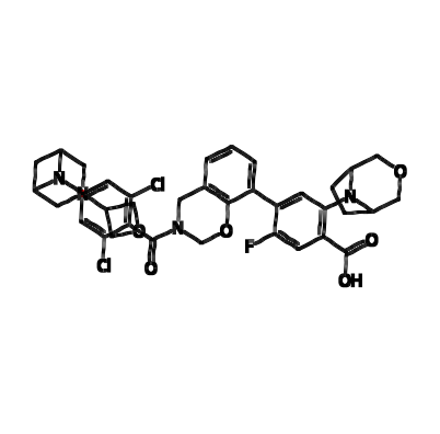 O=C(O)c1cc(F)c(-c2cccc3c2OCN(C(=O)c2c(Cl)cc(N4C5CC4CN(C4COC4)C5)cc2Cl)C3)cc1N1C2CCC1COC2